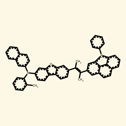 C/C(=C(/C)c1cc2ccc3cccc4c3c2c(c1)n4-c1ccccc1)c1ccc2c(c1)oc1cc(N(c3ccc4ccccc4c3)c3ccccc3C)ccc12